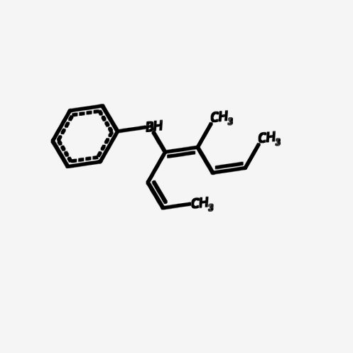 C\C=C/C(C)=C(Bc1ccccc1)\C=C/C